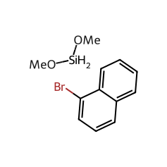 Brc1cccc2ccccc12.CO[SiH2]OC